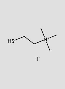 C[N+](C)(C)CCS.[I-]